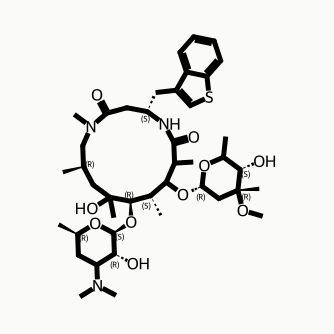 CO[C@]1(C)C[C@H](OC2C(C)C(=O)N[C@@H](Cc3csc4ccccc34)CC(=O)N(C)C[C@H](C)CC(C)(O)[C@H](O[C@@H]3O[C@H](C)CC(N(C)C)[C@H]3O)[C@H]2C)OC(C)[C@@H]1O